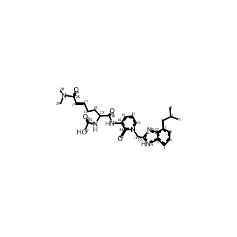 CC(C)Cc1cccc2[nH]c(Cn3cccc(NC(=O)C(CC/C=C/C(=O)N(C)C)NC(=O)O)c3=O)nc12